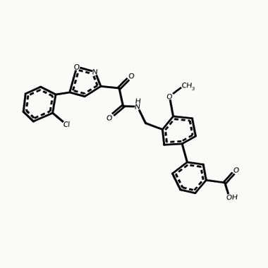 COc1ccc(-c2cccc(C(=O)O)c2)cc1CNC(=O)C(=O)c1cc(-c2ccccc2Cl)on1